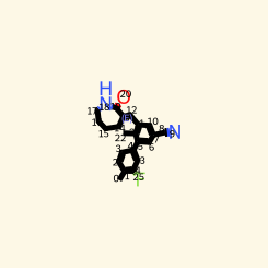 Cc1ccc(-c2cc(C#N)cc(/C=C3\CCCCNC3=O)c2C)cc1F